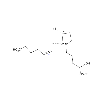 CCCCCC(O)CCCN1CC[C@@H](Cl)[C@H]1C/C=C\CCCC(=O)O